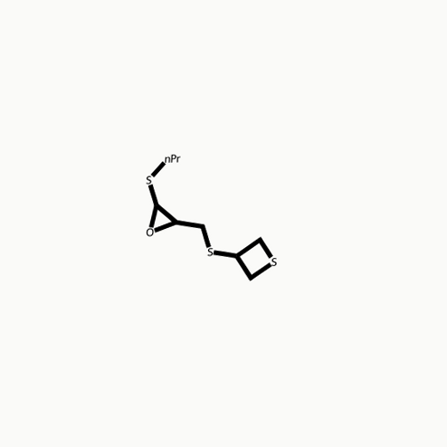 CCCSC1OC1CSC1CSC1